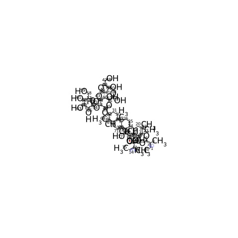 C/C=C(/C)C(=O)O[C@H]1[C@H](OC(=O)/C(C)=C\C)[C@@]2(CO)C(CC1(C)C)C1=CCC3[C@@]4(C)CC[C@H](O[C@@H]5OC(C(=O)O)C[C@@](O)(O[C@@H]6O[C@@H](CO)[C@@H](O)C6O)C5O[C@@H]5OC(CO)[C@H](O)[C@@H](O)C5O)C(C)(C)C4CC[C@@]3(C)[C@]1(C)[C@@H](O)[C@H]2O